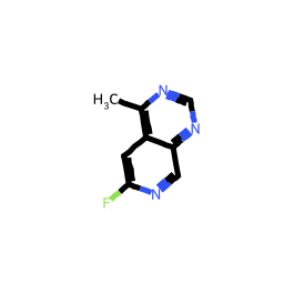 Cc1ncnc2cnc(F)cc12